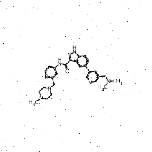 CN(C)Cc1cncc(-c2ccc3[nH]nc(C(=O)Nc4ccnc(CN5CCN(C)CC5)c4)c3c2)c1